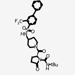 CC(C)(C)NC(=O)N1C(=O)CC[C@H]1C(=O)N1CCC(NS(=O)(=O)c2ccc(-c3ccccc3)cc2C(F)(F)F)CC1